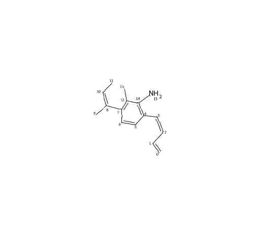 C=C/C=C\c1ccc(/C(C)=C\C)c(C)c1N